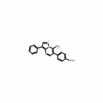 CC(=O)Nc1ccc(-c2cnc3c(-c4ccccc4)cnn3c2N)cc1